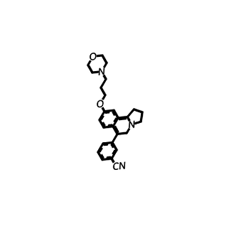 N#Cc1cccc(C2=c3ccc(OCCCN4CCOCC4)cc3=C3CCCN3C2)c1